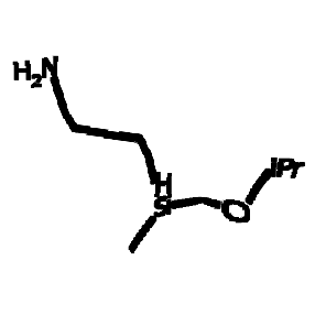 CC(C)O[SiH](C)CCN